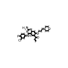 C=CC(=O)c1cc2c(Nc3ccc(F)c(Cl)c3)nc(N)nc2cc1OCCCN1CCOCC1